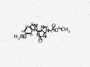 CCOC(=O)Cn1cnc2c(-n3ncc4ccc(OC)cc43)nc(Cl)nc21